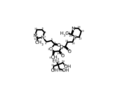 C=C(OC(=O)CCN1CCCN=C1C)C(=O)OC(=O)CCN1CCCN=C1C.CCC(CO)(CO)CO